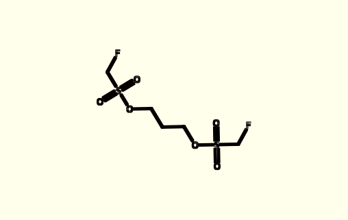 O=S(=O)(CF)OCCCOS(=O)(=O)CF